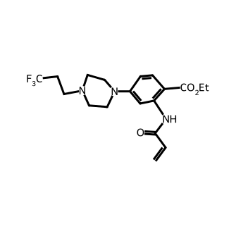 C=CC(=O)Nc1cc(N2CCN(CCC(F)(F)F)CC2)ccc1C(=O)OCC